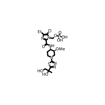 CCc1nc(C(=O)N[C@@H]2CCN(c3nnc(C(C)(O)CO)s3)C[C@@H]2OC)n(COP(=O)(O)O)c1Cl